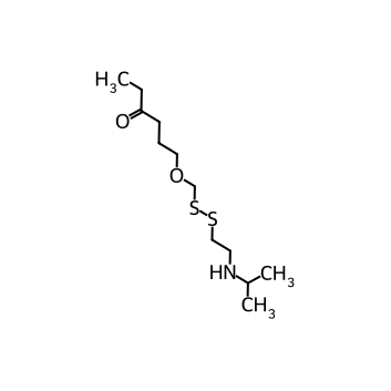 CCC(=O)CCCOCSSCCNC(C)C